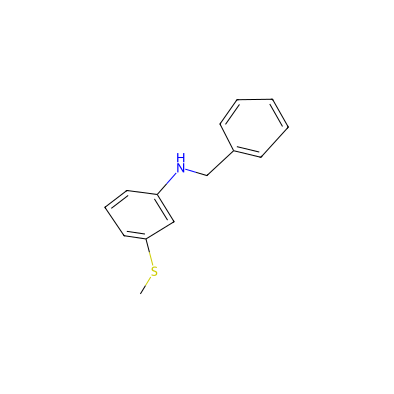 CSc1cccc(NCc2ccccc2)c1